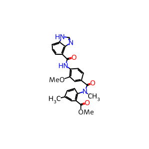 COC(=O)c1cc(C)ccc1N(C)C(=O)c1ccc(NC(=O)c2cccc3[nH]cnc23)c(OC)c1